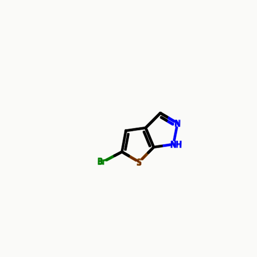 Brc1cc2cn[nH]c2s1